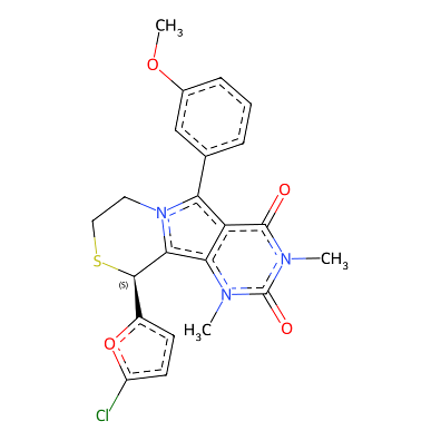 COc1cccc(-c2c3c(=O)n(C)c(=O)n(C)c3c3n2CCS[C@@H]3c2ccc(Cl)o2)c1